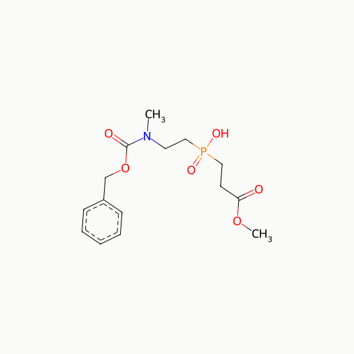 COC(=O)CCP(=O)(O)CCN(C)C(=O)OCc1ccccc1